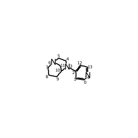 c1cc(N2CCN3CCCC2C3)ccn1